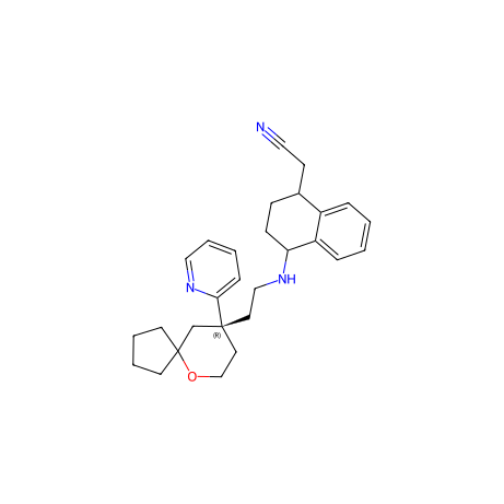 N#CCC1CCC(NCC[C@@]2(c3ccccn3)CCOC3(CCCC3)C2)c2ccccc21